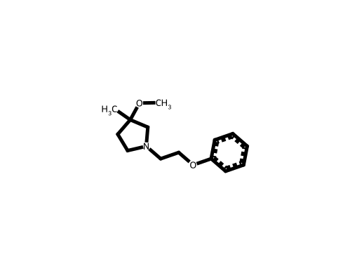 COC1(C)CCN(CCOc2ccccc2)C1